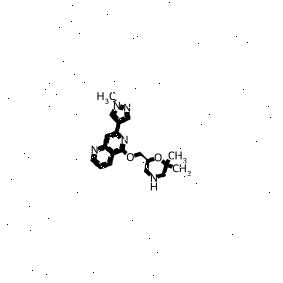 Cn1cc(-c2cc3ncccc3c(OC[C@@H]3CNCC(C)(C)O3)n2)cn1